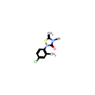 C=C1SN(c2ccc(Cl)cc2C)C(=O)N1C(C)C